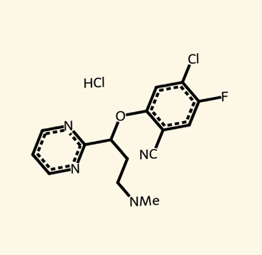 CNCCC(Oc1cc(Cl)c(F)cc1C#N)c1ncccn1.Cl